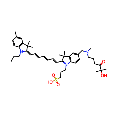 CCCN1/C(=C/C=C/C=C/C=C/C2=[N+](CCCS(=O)(=O)O)c3ccc(CN(C)CCCC(=O)C(C)(C)O)cc3C2(C)C)C(C)(C)c2cc(C)ccc21